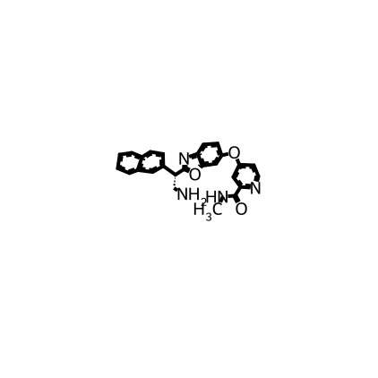 CNC(=O)c1cc(Oc2ccc3nc([C@H](CN)c4ccc5ccccc5c4)oc3c2)ccn1